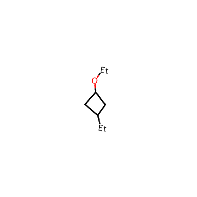 CCOC1CC(CC)C1